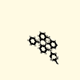 Cc1ncc(N2c3cccc4c3B3c5c(cccc5N(c5ccccc5)c5cccc2c53)S4)cn1